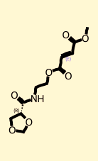 COC(=O)/C=C/C(=O)OCCNC(=O)[C@H]1COCO1